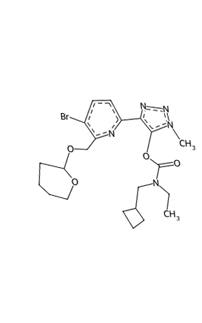 CCN(CC1CCC1)C(=O)Oc1c(-c2ccc(Br)c(COC3CCCCO3)n2)nnn1C